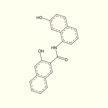 O=C(Nc1cccc2ccc(O)cc12)c1cc2ccccc2cc1O